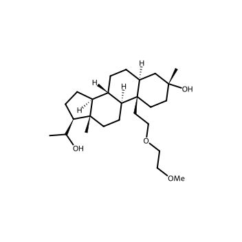 COCCOCC[C@]12CC[C@@](C)(O)C[C@@H]1CC[C@H]1[C@@H]3CC[C@H](C(C)O)[C@@]3(C)CC[C@@H]12